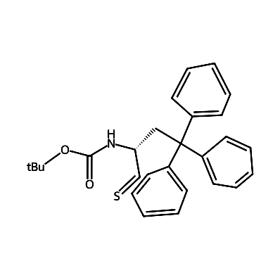 CC(C)(C)OC(=O)N[C@@H](C=S)CC(c1ccccc1)(c1ccccc1)c1ccccc1